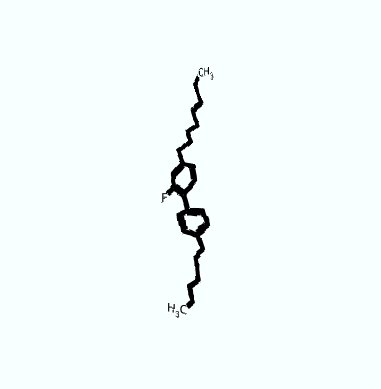 CCCCCCCCc1ccc(-c2ccc(CCCCCC)cc2)c(F)c1